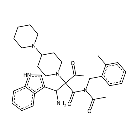 CC(=O)N(Cc1ccccc1C)C(=O)C(C(C)=O)(C(N)c1c[nH]c2ccccc12)N1CCC(N2CCCCC2)CC1